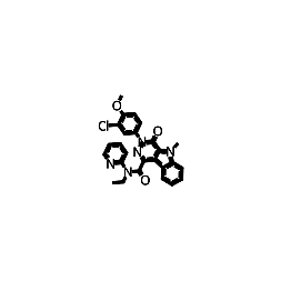 CCN(C(=O)c1nn(-c2ccc(OC)c(Cl)c2)c(=O)c2c1c1ccccc1n2C)c1ccccn1